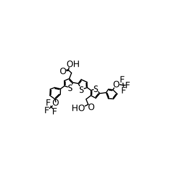 O=C(O)Cc1cc(-c2cccc(OC(F)(F)F)c2)sc1-c1ccc(-c2sc(-c3cccc(OC(F)(F)F)c3)cc2CC(=O)O)s1